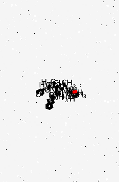 CCC[C@H](NC(=O)[C@@H]1C[C@@H](OC(=O)N2Cc3ccccc3C2)CN1C(=O)[C@@H](NC(=O)OCC1CCOCC1)C(C)(C)C)B1O[C@@H]2C[C@@H]3C[C@@H](C3(C)C)[C@]2(C)O1